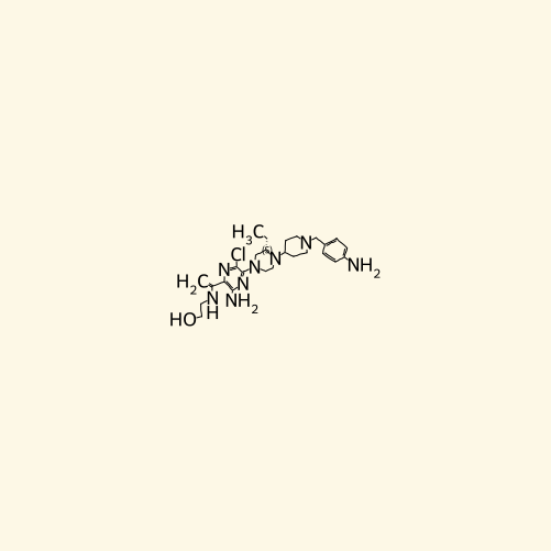 C=C(NCCO)c1nc(Cl)c(N2CCN(C3CCN(Cc4ccc(N)cc4)CC3)[C@@H](CC)C2)nc1N